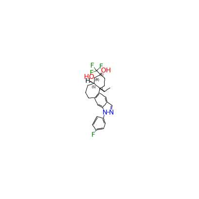 CC[C@]12CC[C@@](O)(C(F)(F)F)[C@H](O)[C@H]1CCCc1cc3c(cnn3-c3ccc(F)cc3)cc12